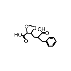 O=C(O)C(Cc1ccccc1)CC1OCOC1C(=O)O